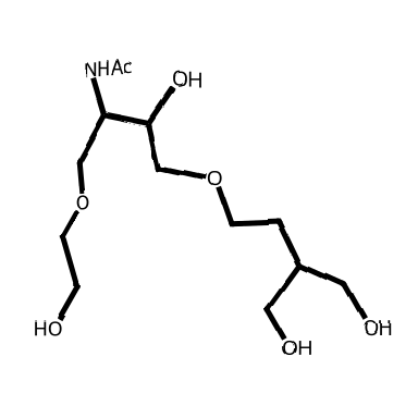 CC(=O)NC(COCCO)C(O)COCCC(CO)CO